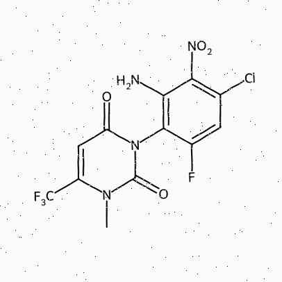 Cn1c(C(F)(F)F)cc(=O)n(-c2c(F)cc(Cl)c([N+](=O)[O-])c2N)c1=O